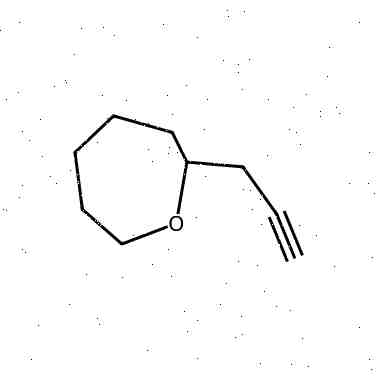 C#CCC1CCCCCO1